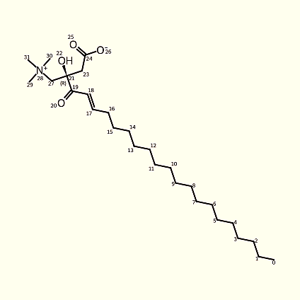 CCCCCCCCCCCCCCCCCC=CC(=O)[C@@](O)(CC(=O)[O-])C[N+](C)(C)C